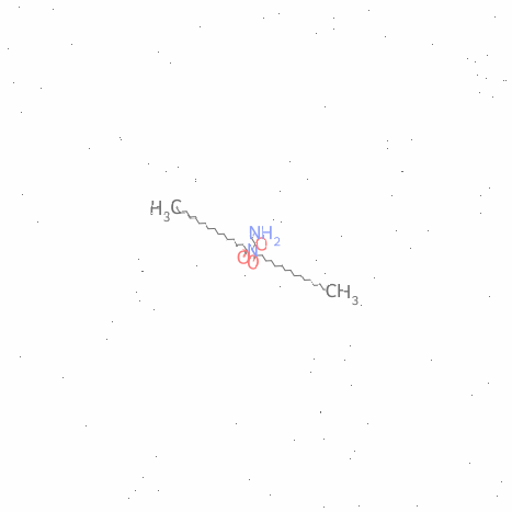 CCCCCCCCCCCCCCCC(=O)N(C(=O)CN)C(=O)CCCCCCCCCCCCCCC